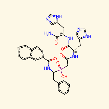 NC(=O)[C@H](Cc1cnc[nH]1)NC(=O)[C@H](Cc1cnc[nH]1)NC(=O)CP(=O)(O)C(Cc1ccccc1)NC(=O)c1ccc2ccccc2c1